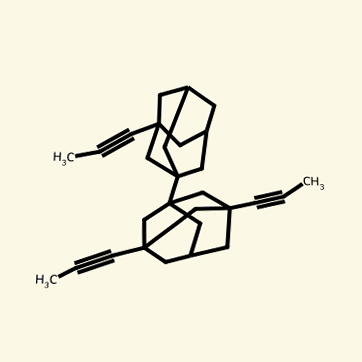 CC#CC12CC3CC(C1)CC(C14CC5CC(C#CC)(CC(C#CC)(C5)C1)C4)(C3)C2